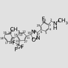 CNCc1ccc(-c2noc(-c3ccc(-c4ccccc4C)c(C(F)(F)F)c3)n2)cc1F